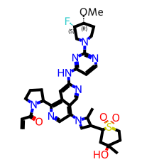 C=CC(=O)N1CCCC1c1ncc(N2CC(C3CC(C)(O)CCS3(=O)=O)C2C)c2cnc(Nc3ccnc(N4CC[C@@H](OC)[C@@H](F)C4)n3)cc12